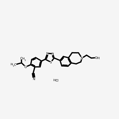 CC(C)Oc1ccc(-c2nnc(-c3ccc4c(c3)CCN(CCO)CC4)s2)cc1C#N.Cl